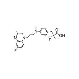 CCC(Cc1ccc(NCCCN2CC(C)Oc3cc(F)ccc32)cc1)(OC)C(=O)O